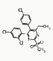 CCc1nc(S(C)(=O)=O)nc(-c2ccc(Cl)cc2Cl)c1-c1ccc(Cl)cc1